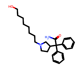 NC(=O)C(c1ccccc1)(c1ccccc1)C1CCN(CCCCCCCCO)C1